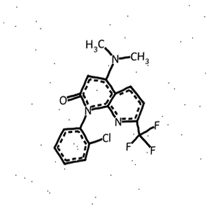 CN(C)c1cc(=O)n(-c2ccccc2Cl)c2nc(C(F)(F)F)ccc12